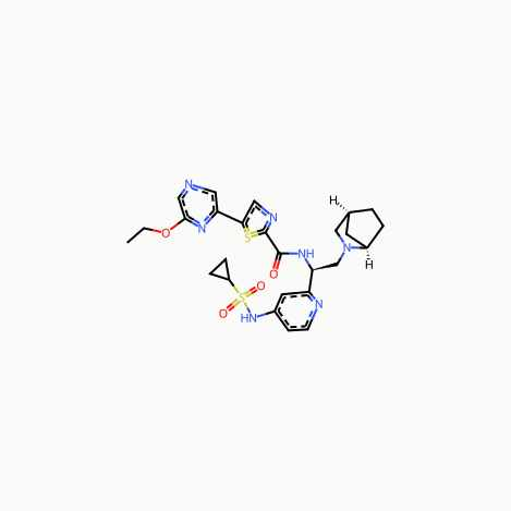 CCOc1cncc(-c2cnc(C(=O)N[C@@H](CN3C[C@H]4CC[C@@H]3C4)c3cc(NS(=O)(=O)C4CC4)ccn3)s2)n1